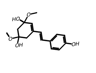 COC1(O)C=C(C=Cc2ccc(O)cc2)CC(O)(OC)C1